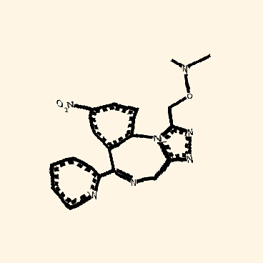 CN(C)OCc1nnc2n1-c1ccc([N+](=O)[O-])cc1C(c1ccccn1)=NC2